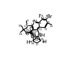 CSc1nc2c(F)c(Br)c(C)cc2c(N[C@H]2[C@@H]3C[C@H]2N(C(=O)OC(C)(C)C)C3)c1C(C)=O